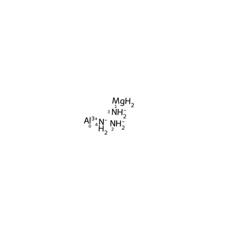 [Al+3].[MgH2].[NH2-].[NH2-].[NH2-]